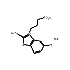 CSc1sc2ccc(Cl)cc2[n+]1CCCS(=O)(=O)O.[OH-]